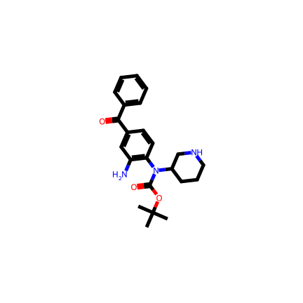 CC(C)(C)OC(=O)N(c1ccc(C(=O)c2ccccc2)cc1N)C1CCCNC1